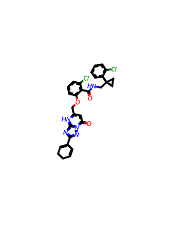 O=C(NCC1(c2ccccc2Cl)CC1)c1c(Cl)cccc1OCc1cc(=O)n2nc(C3=CCCC=C3)nc2[nH]1